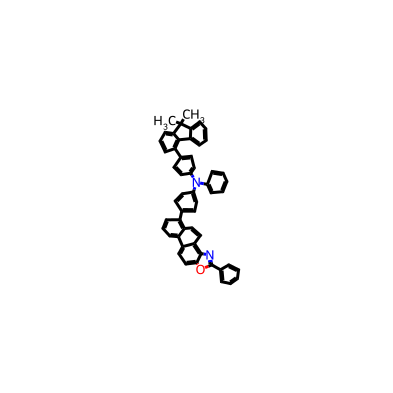 CC1(C)c2ccccc2-c2c(-c3ccc(N(c4ccccc4)c4ccc(-c5cccc6c5ccc5c6ccc6oc(-c7ccccc7)nc65)cc4)cc3)cccc21